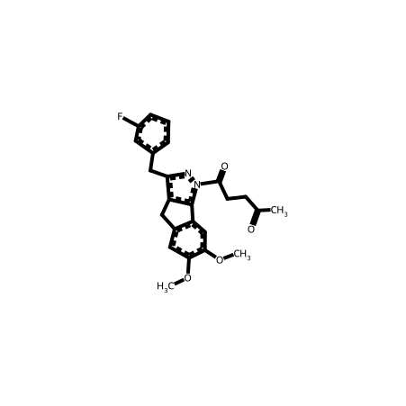 COc1cc2c(cc1OC)-c1c(c(Cc3cccc(F)c3)nn1C(=O)CCC(C)=O)C2